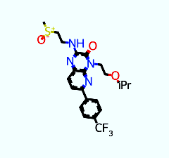 CC(C)OCCn1c(=O)c(NCC[S+](C)[O-])nc2ccc(-c3ccc(C(F)(F)F)cc3)nc21